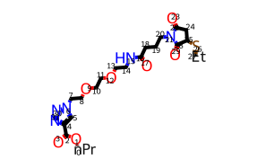 CCCOC(=O)c1cn(CCOCCOCCNC(=O)CCCN2C(=O)CC(SCC)C2=O)nn1